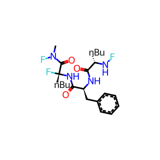 CCCC[C@H](NF)C(=O)N[C@@H](Cc1ccccc1)C(=O)N[C@@](F)(CCCC)C(=O)N(C)F